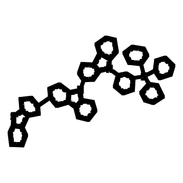 c1ccc([Si](c2ccccc2)(c2ccccc2)c2cccc(-n3c4ccccc4c4ccc(-n5c6ccccc6c6cc(-c7ccc8sc9ccccc9c8c7)ccc65)cc43)c2)cc1